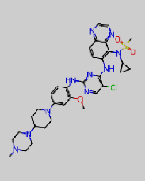 COc1cc(N2CCC(N3CCN(C)CC3)CC2)ccc1Nc1ncc(Cl)c(Nc2ccc3nccnc3c2N(C2CC2)S(C)(=O)=O)n1